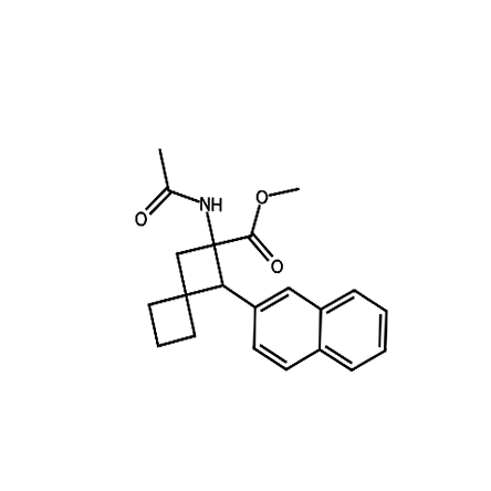 COC(=O)C1(NC(C)=O)CC2(CCC2)C1c1ccc2ccccc2c1